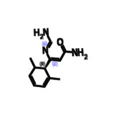 CC1=CC=CC(C)[C@H]1C(=C/C(N)=O)/N=C/N